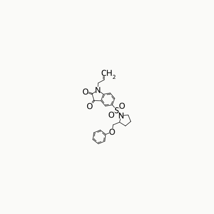 C=CCN1C(=O)C(=O)c2cc(S(=O)(=O)N3CCCC3COc3ccccc3)ccc21